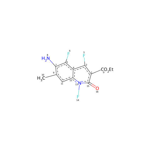 CCOC(=O)c1c(F)c2c(F)c(N)c(C)cc2n(F)c1=O